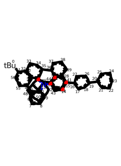 CC(C)(C)c1ccc(-c2ccccc2N(c2ccc(-c3ccc(-c4ccccc4)cc3)cc2)c2ccccc2-c2cccc3cccc(C45CC6CC7CC(C4)C765)c23)cc1